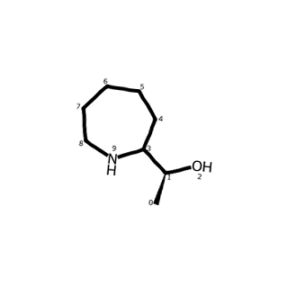 C[C@H](O)C1CCCCCN1